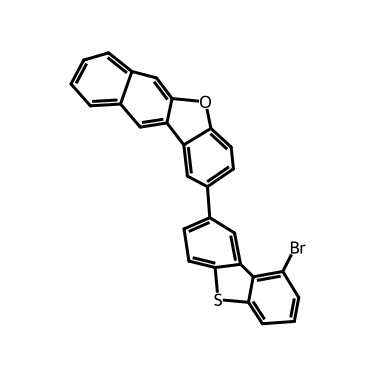 Brc1cccc2sc3ccc(-c4ccc5oc6cc7ccccc7cc6c5c4)cc3c12